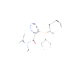 CC(C)N(C(=O)c1c(P(C2CCCCC2)C2CCCCC2)cnn1C)C(C)C